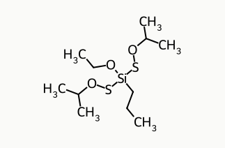 CCC[Si](OCC)(SOC(C)C)SOC(C)C